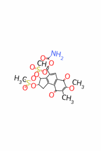 COC1=C(C)C(=O)c2c(cc(COC(N)=O)c3c2CC(OS(C)(=O)=O)C3OS(C)(=O)=O)C1=O